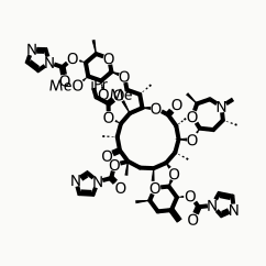 C=C1C[C@@H](C)O[C@@H](O[C@@H]2[C@@H](C)[C@H](O[C@H]3C[C@@H](C)N(C)C[C@H](C)O3)[C@@H](C)C(=O)O[C@H]([C@@H](C)CO[C@@H]3O[C@H](C)[C@@H](OC(=O)n4ccnc4)[C@@H](OC)[C@H]3OC)[C@H](C)[C@@H](OC(=O)CC(C)C)[C@@H](C)C(=O)[C@@](C)(OC(=O)n3ccnc3)C[C@@H]2C)[C@@H]1OC(=O)n1ccnc1